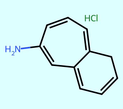 Cl.NC1=CC2=CC=CCC2=CC=C1